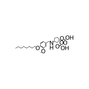 CCCCCCCCOc1ccc(CNC2CCC(OC(=O)O)(OC(=O)O)C2)cc1OC